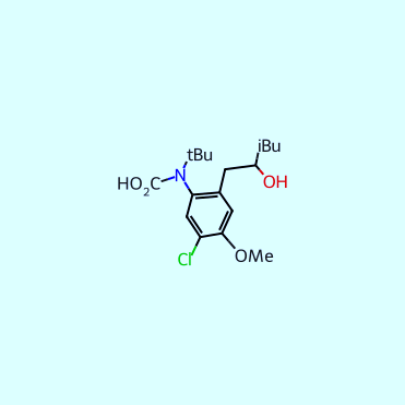 CCC(C)C(O)Cc1cc(OC)c(Cl)cc1N(C(=O)O)C(C)(C)C